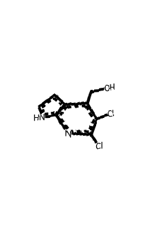 OCc1c(Cl)c(Cl)nc2[nH]ccc12